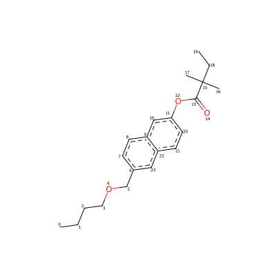 CCCCOCc1ccc2cc(OC(=O)C(C)(C)CC)ccc2c1